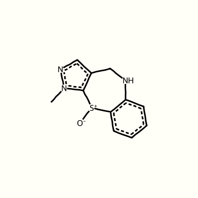 Cn1ncc2c1[S+]([O-])c1ccccc1NC2